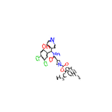 CC(C)(C)OC(=O)N1CC(C(=O)NC(c2ccncc2)c2cc(Cl)c(Cl)cc2O)C1